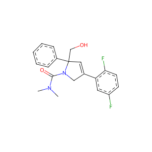 CN(C)C(=O)N1CC(c2cc(F)ccc2F)=CC1(CO)c1ccccc1